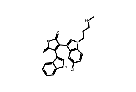 CNCCCn1cc(C2=C(c3c[nH]c4ccccc34)C(=O)NC2=O)c2cc(Cl)ccc21